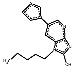 CCCCCn1c(O)nc2ncc(-c3ccsc3)cc21